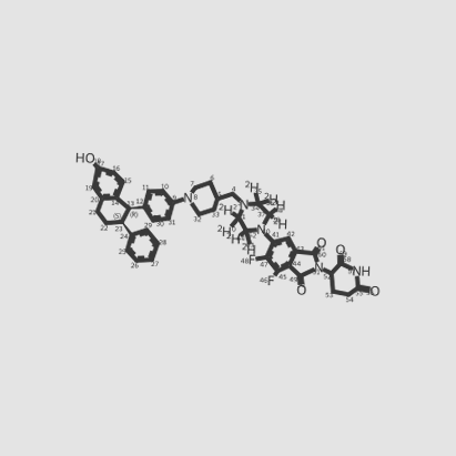 [2H]C1([2H])N(CC2CCN(c3ccc([C@@H]4c5ccc(O)cc5CC[C@@H]4c4ccccc4)cc3)CC2)C([2H])([2H])C([2H])([2H])N(c2cc3c(c(F)c2F)C(=O)N(C2CCC(=O)NC2=O)C3=O)C1([2H])[2H]